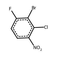 O=[N+]([O-])c1ccc(F)c(Br)c1Cl